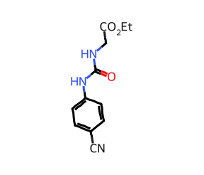 CCOC(=O)CNC(=O)Nc1ccc(C#N)cc1